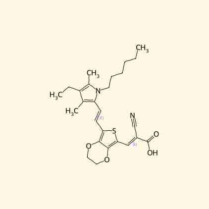 CCCCCCn1c(C)c(CC)c(C)c1/C=C/c1sc(/C=C(\C#N)C(=O)O)c2c1OCCO2